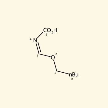 CCCCCO/C=N\C(=O)O